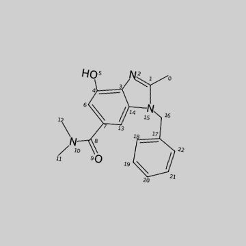 Cc1nc2c(O)cc(C(=O)N(C)C)cc2n1Cc1ccccc1